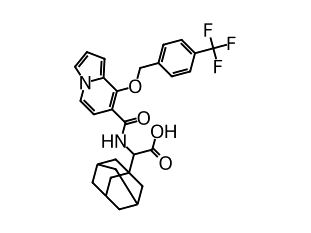 O=C(NC(C(=O)O)C12CC3CC(CC(C3)C1)C2)c1ccn2cccc2c1OCc1ccc(C(F)(F)F)cc1